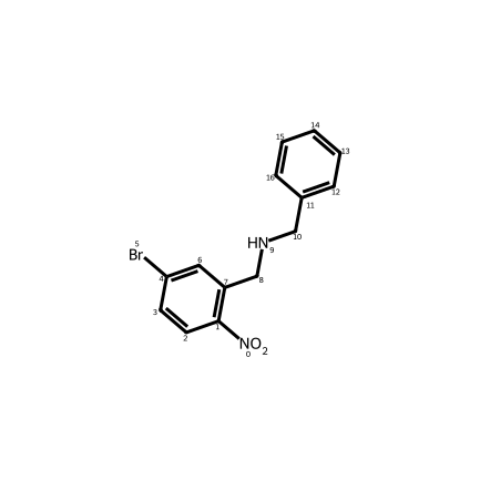 O=[N+]([O-])c1ccc(Br)cc1CNCc1ccccc1